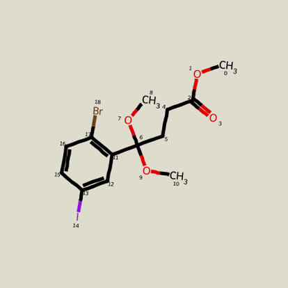 COC(=O)CCC(OC)(OC)c1cc(I)ccc1Br